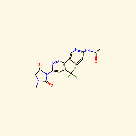 CC(=O)Nc1ccc(-c2cnc(N3C(=O)N(C)CC3O)cc2C(F)(F)F)cn1